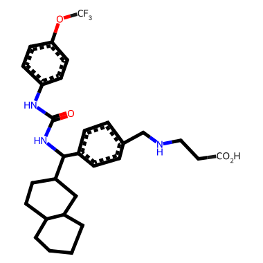 O=C(O)CCNCc1ccc(C(NC(=O)Nc2ccc(OC(F)(F)F)cc2)C2CCC3CCCCC3C2)cc1